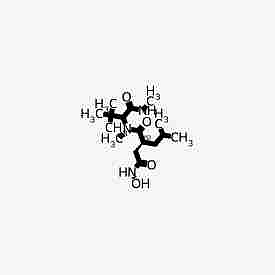 CNC(=O)C(N(C)C(=O)[C@H](CC(=O)NO)CC(C)C)C(C)(C)C